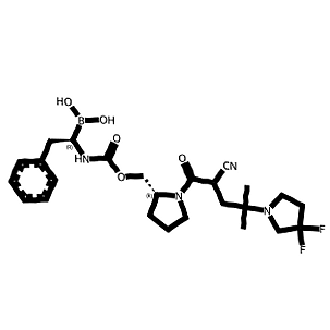 CC(C)(CC(C#N)C(=O)N1CCC[C@@H]1COC(=O)N[C@@H](Cc1ccccc1)B(O)O)N1CCC(F)(F)C1